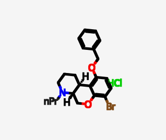 CCCN1CCC[C@H]2c3c(OCc4ccccc4)ccc(Br)c3OC[C@@H]21.Cl